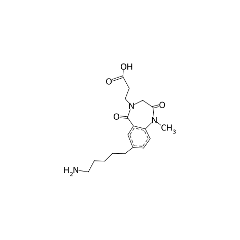 CN1C(=O)CN(CCC(=O)O)C(=O)c2cc(CCCCCN)ccc21